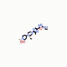 CCNc1nnc(-c2cnc(N3CCN(C4CCN(B(C)O)CC4)[C@@H](CC)C3)c(C)n2)o1